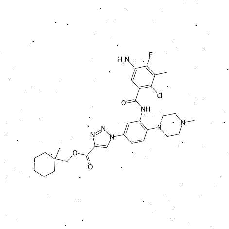 Cc1c(F)c(N)cc(C(=O)Nc2cc(-n3cc(C(=O)OCC4(C)CCCCC4)nn3)ccc2N2CCN(C)CC2)c1Cl